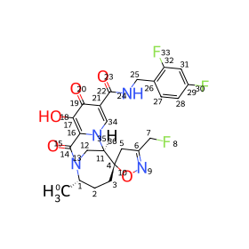 C[C@H]1CC[C@]2(CC(CF)=NO2)[C@H]2CN1C(=O)c1c(O)c(=O)c(C(=O)NCc3ccc(F)cc3F)cn12